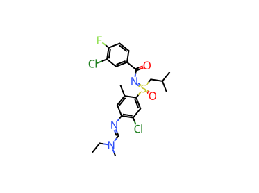 CCN(C)/C=N/c1cc(C)c(S(=O)(CC(C)C)=NC(=O)c2ccc(F)c(Cl)c2)cc1Cl